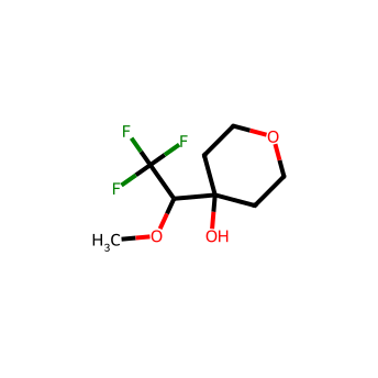 COC(C(F)(F)F)C1(O)CCOCC1